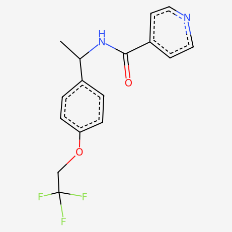 CC(NC(=O)c1ccncc1)c1ccc(OCC(F)(F)F)cc1